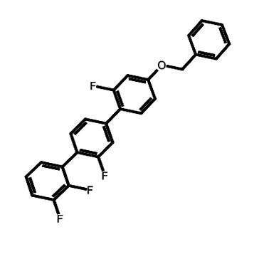 Fc1cc(OCc2ccccc2)ccc1-c1ccc(-c2cccc(F)c2F)c(F)c1